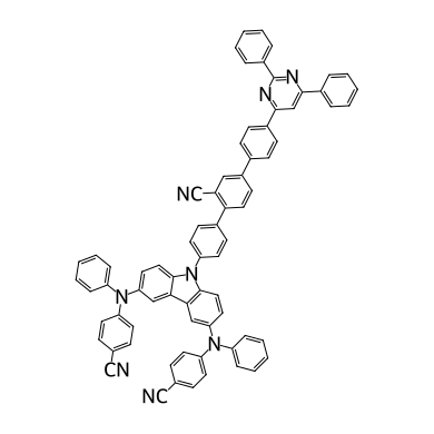 N#Cc1ccc(N(c2ccccc2)c2ccc3c(c2)c2cc(N(c4ccccc4)c4ccc(C#N)cc4)ccc2n3-c2ccc(-c3ccc(-c4ccc(-c5cc(-c6ccccc6)nc(-c6ccccc6)n5)cc4)cc3C#N)cc2)cc1